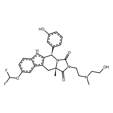 CN(CCO)CCN1C(=O)N2[C@H](c3cccc(O)c3)c3[nH]c4ccc(OC(F)F)cc4c3C[C@@]2(C)C1=O